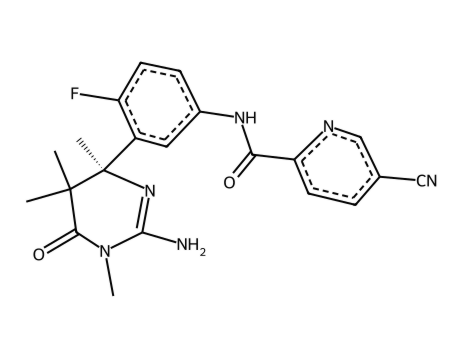 CN1C(=O)C(C)(C)[C@@](C)(c2cc(NC(=O)c3ccc(C#N)cn3)ccc2F)N=C1N